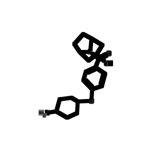 NC1CCC(Oc2ccc(C(=O)N3C4CCC3CC(O)C4)cc2)CC1